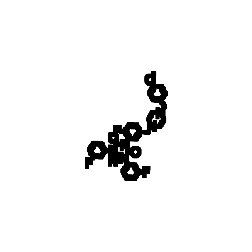 COc1ccc(CN2CCN(Cc3ccc(F)c(N(C(=O)Nc4cccc(F)c4)C(=O)Nc4cccc(F)c4)c3)CC2)cc1